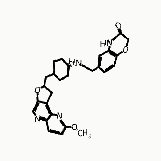 COc1ccc2ncc3c(c2n1)CC(CC1CCC(NCc2ccc4c(c2)NC(=O)CO4)CC1)O3